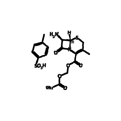 CC1=C(C(=O)OCOC(=O)C(C)(C)C)N2C(=O)C(N)[C@@H]2SC1.Cc1ccc(S(=O)(=O)O)cc1